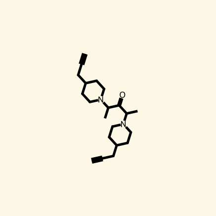 C#CCC1CCN(C(C)C(=O)C(C)N2CCC(CC#C)CC2)CC1